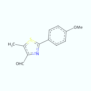 COc1ccc(-c2nc(C=O)c(C)s2)cc1